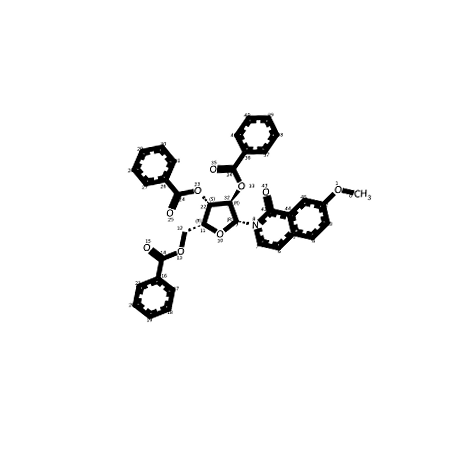 COc1ccc2ccn([C@@H]3O[C@H](COC(=O)c4ccccc4)[C@H](OC(=O)c4ccccc4)[C@H]3OC(=O)c3ccccc3)c(=O)c2c1